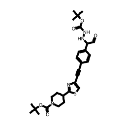 CC(C)(C)OC(=O)NNC(C=O)c1ccc(C#Cc2csc(C3CCN(C(=O)OC(C)(C)C)CC3)n2)cc1